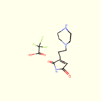 O=C(O)C(F)(F)F.O=C1C=C(CCN2CCNCC2)C(=O)N1